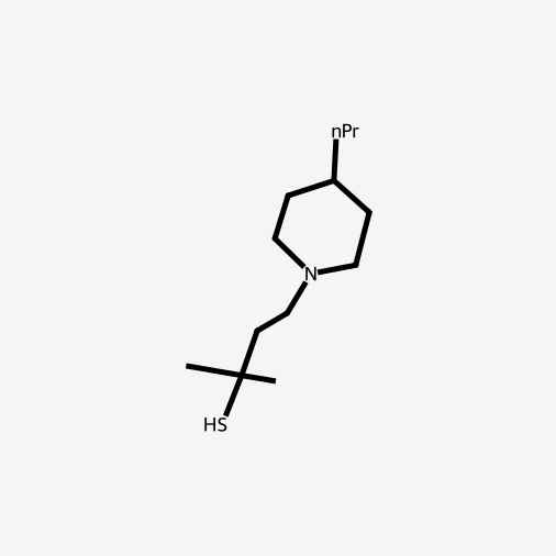 CCCC1CCN(CCC(C)(C)S)CC1